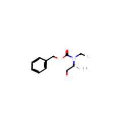 CC(=O)CN(C(=O)OCc1ccccc1)[C@@H](C)CO